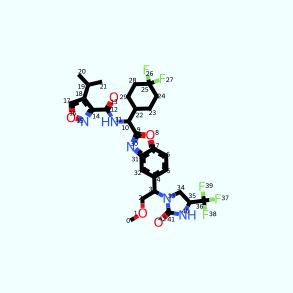 COCC(c1ccc2oc(C(NC(=O)c3nocc3C(C)C)C3CCC(F)(F)CC3)nc2c1)N1CC(C(F)(F)F)NC1=O